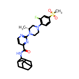 C[C@@H]1CN(c2ccc(S(C)(=O)=O)cc2F)CCN1c1nccc(C(=O)NC2C3CC4CC(C3)CC2C4)n1